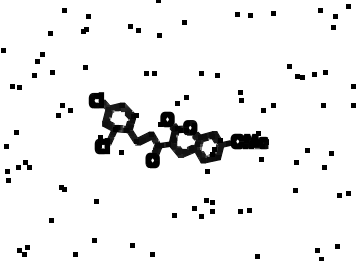 COc1ccc2cc(C(=O)C=Cc3ccc(Cl)cc3Cl)c(=O)oc2c1